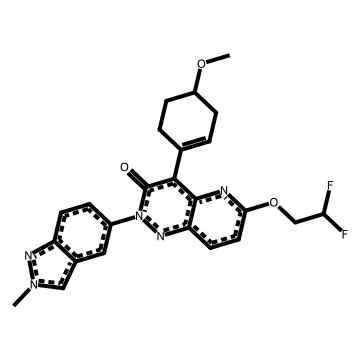 COC1CC=C(c2c(=O)n(-c3ccc4nn(C)cc4c3)nc3ccc(OCC(F)F)nc23)CC1